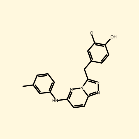 Cc1cccc(Nc2ccc3nnc(Cc4ccc(O)c(Cl)c4)n3n2)c1